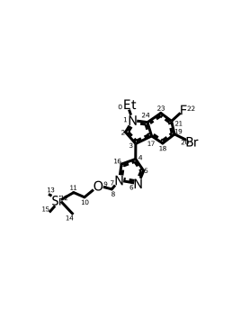 CCn1cc(-c2cnn(COCC[Si](C)(C)C)c2)c2cc(Br)c(F)cc21